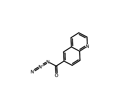 [N-]=[N+]=NC(=O)c1ccc2ncccc2c1